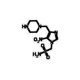 NS(=O)(=O)Cn1cnc(CN2CCNCC2)c1[N+](=O)[O-]